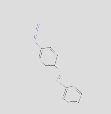 [N-]=[N+]=Nc1ccc(/N=N/c2ccccc2)cc1